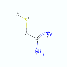 [CH2]SCC(=N)N